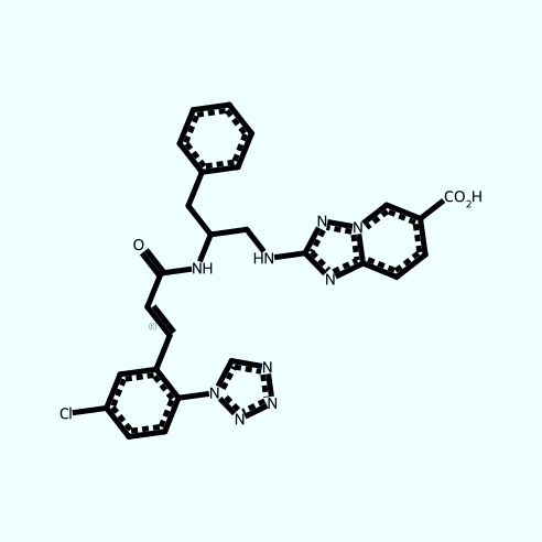 O=C(/C=C/c1cc(Cl)ccc1-n1cnnn1)NC(CNc1nc2ccc(C(=O)O)cn2n1)Cc1ccccc1